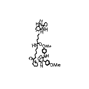 COc1ccc(NC(=O)[C@@H](NC(=O)[C@@H]2CCCN2C(=O)CCCCCNC(=O)CCCC[C@@H]2SC[C@@H]3NC(=O)N[C@@H]32)c2ccc(OC)cc2)cc1